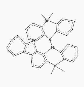 CC1(C)c2ccccc2N(B2c3ccccc3[Si](C)(C)c3ccccc32)c2c1ccc1c2oc2ccccc21